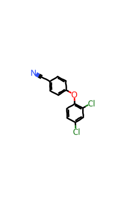 N#Cc1ccc(Oc2ccc(Cl)cc2Cl)cc1